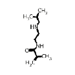 C=C(C)C(=O)NCCNCC(C)C